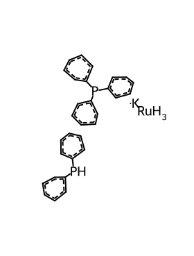 [K].[RuH3].c1ccc(P(c2ccccc2)c2ccccc2)cc1.c1ccc(Pc2ccccc2)cc1